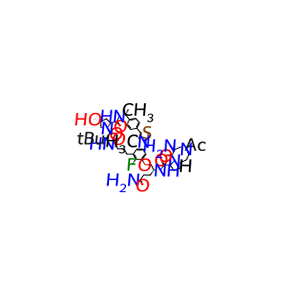 CC(=O)N1CC[C@H]2CC[C@@H](C(=O)N[C@@H](CCC(N)=O)COc3cccc(CCCC(=O)N[C@H](C(=O)N4C[C@H](O)C[C@H]4C(=O)N[C@@H](C)c4ccc(-c5scnc5C)cc4)C(C)(C)C)c3F)N2C(=O)[C@@H](N)C1